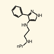 CCCNCCNc1c[nH]nc1-c1ccccc1